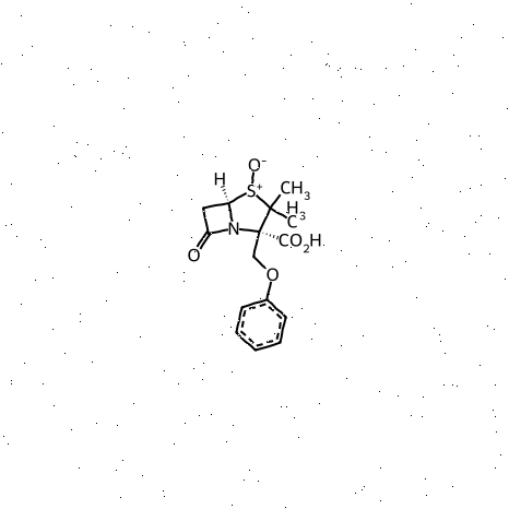 CC1(C)[S+]([O-])[C@@H]2CC(=O)N2[C@@]1(COc1ccccc1)C(=O)O